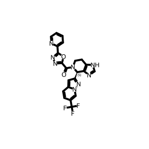 O=C(c1nnc(-c2ccccn2)o1)N1CCc2[nH]cnc2[C@H]1c1cc2ccc(C(F)(F)F)cn2n1